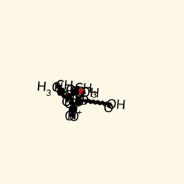 CCN1C(=O)/C(=c2\s/c(=C\c3ccc(N(C)C)cc3)c(=O)n2CC(=O)N(c2ccc([N+](=O)[O-])cc2)c2ccc(OCCCCCCCCCCC(=O)O)c(OCC(=O)O)c2)SC1=S